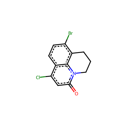 O=c1cc(Cl)c2ccc(Br)c3c2n1CCC3